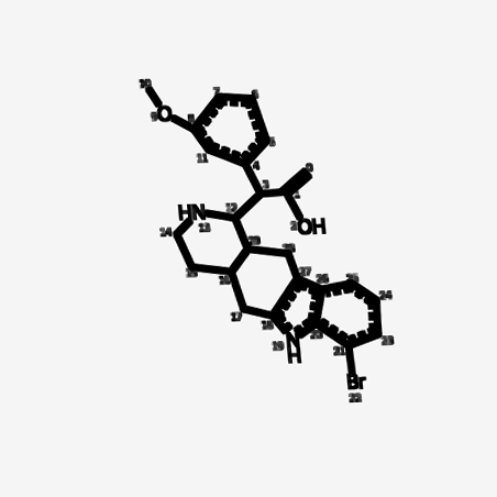 C=C(O)C(c1cccc(OC)c1)C1NCCC2Cc3[nH]c4c(Br)cccc4c3CC21